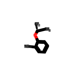 C[C@H](Oc1ccccc1C#N)C(F)(F)F